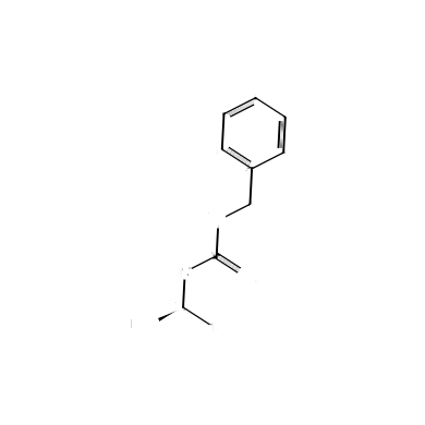 C[C@H](I)NC(=O)OCc1ccccc1